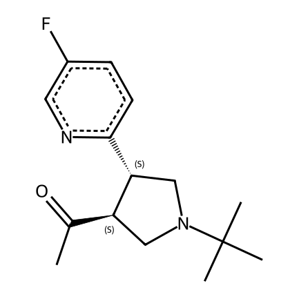 CC(=O)[C@@H]1CN(C(C)(C)C)C[C@H]1c1ccc(F)cn1